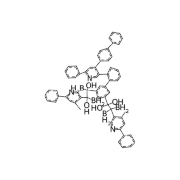 BC(B)(c1cnc(-c2ccccc2)cc1C)C(O)(O)c1cc(-c2ccccc2-c2cnc(-c3ccccc3)cc2-c2ccc(-c3ccccc3)cc2)cc(C(B)(O)C(B)(O)c2cnc(-c3ccccc3)cc2C)c1